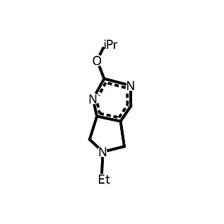 CCN1Cc2cnc(OC(C)C)nc2C1